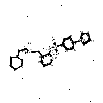 C[C@@H](CC1CCCCC1)NCc1cccnc1NS(=O)(=O)c1ccc(-n2cccc2)cc1